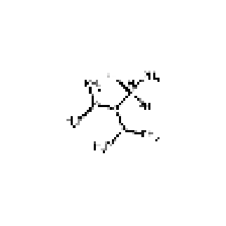 [3H][PH]([3H])(P)P(P(P)P)P(P)P